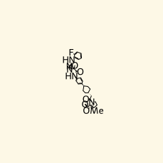 COC(=O)[C@@H]1CCCN1C(=O)C[C@H]1CC[C@H](c2ccc(NC(=O)c3nnc(Nc4ccccc4F)o3)cc2)CC1